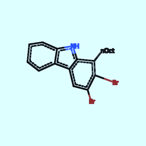 CCCCCCCCc1c(Br)c(Br)cc2c1[nH]c1ccccc12